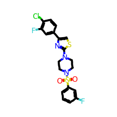 O=S(=O)(c1cccc(F)c1)N1CCN(c2nc(-c3ccc(Cl)c(F)c3)cs2)CC1